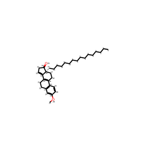 CCCCCCCCCCCCCCCC[C@]12CCC3=C(CCc4cc(OC)ccc43)C1=CCC2=O